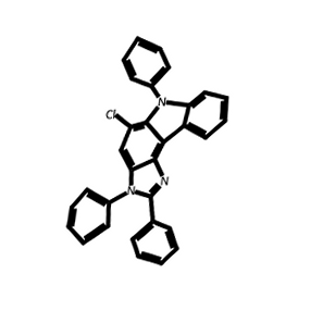 Clc1cc2c(nc(-c3ccccc3)n2-c2ccccc2)c2c3ccccc3n(-c3ccccc3)c12